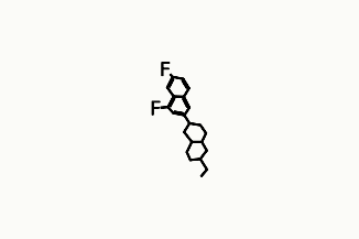 CCC1CCC2CC(c3cc(F)c4cc(F)ccc4c3)CCC2C1